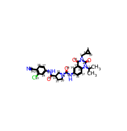 CC(C)n1c(=O)n(CC2CC2)c(=O)c2cc(NC(=O)N3CCC(C(=O)Nc4ccc(C#N)c(Cl)c4)C3)ccc21